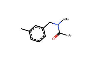 CCCCN(Cc1cccc(C)c1)C(=O)CCC